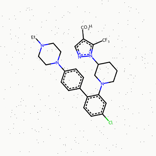 CCN1CCN(c2ccc(-c3ccc(Cl)cc3N3CCCC(n4ncc(C(=O)O)c4C(F)(F)F)C3)cc2)CC1